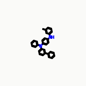 Cc1cccc(Nc2ccc(N(c3ccccc3)c3cccc(-c4ccccc4)c3)cc2)c1